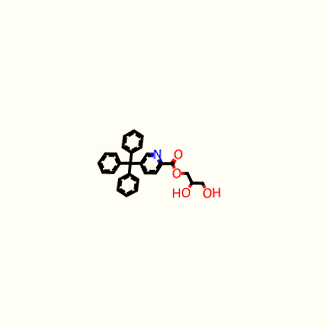 O=C(OCC(O)CO)c1ccc(C(c2ccccc2)(c2ccccc2)c2ccccc2)cn1